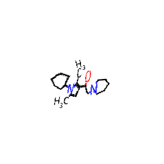 Cc1cc(C(=O)CN2CCCCC2)c(C)n1C1CCCCC1